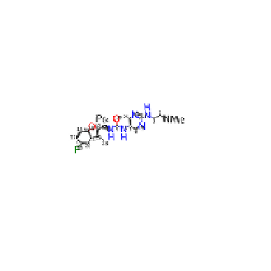 CNCCNc1ncc(NC(=O)N[C@H](c2oc3ccc(F)cc3c2C)C(C)C)cn1